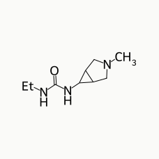 CCNC(=O)NC1C2CN(C)CC21